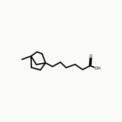 CC12CCC(CCCCCC(=O)O)(CC1)C2